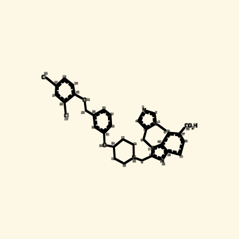 Cn1cncc1Cn1c(CN2CCC(Oc3cccc(COc4ccc(Cl)cc4Cl)c3)CC2)nc2ccc(C(=O)O)cc21